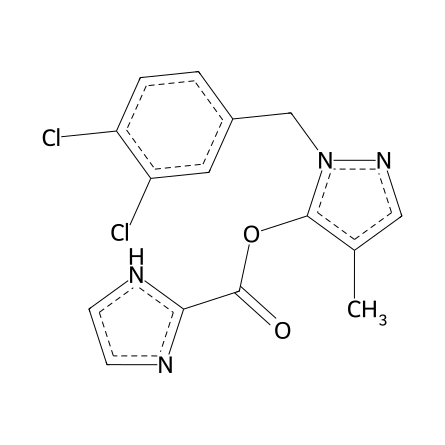 Cc1cnn(Cc2ccc(Cl)c(Cl)c2)c1OC(=O)c1ncc[nH]1